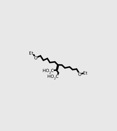 CCOCCCCCC(CCCCCOCC)=C(CC(=O)O)C(=O)O